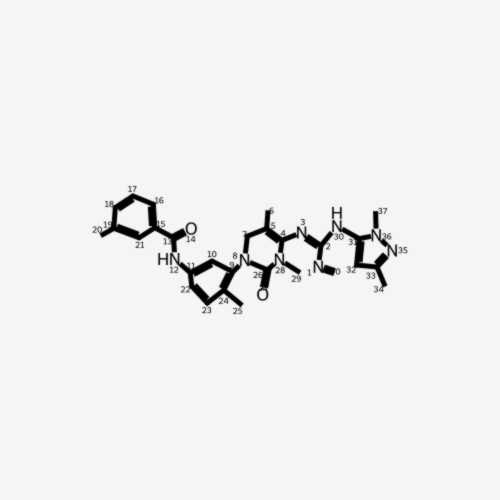 C=N/C(=N\C1=C(C)CN(c2cc(NC(=O)c3cccc(C)c3)ccc2C)C(=O)N1C)Nc1cc(C)nn1C